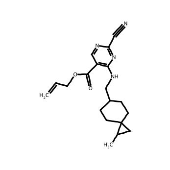 C=CCOC(=O)c1cnc(C#N)nc1NCC1CCC2(CC1)CC2C